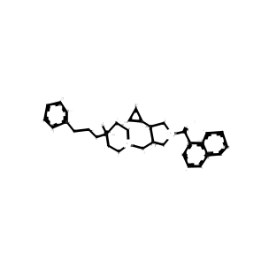 O=C(c1cccc2ccccc12)N1CC(CN2CCC(O)(CCCc3ccccc3)CC2)C(C2CC2)C1